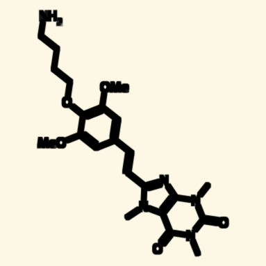 COc1cc(C=Cc2nc3c(c(=O)n(C)c(=O)n3C)n2C)cc(OC)c1OCCCCN